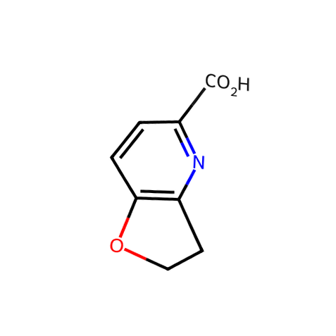 O=C(O)c1ccc2c(n1)CCO2